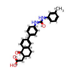 Cc1cccc(NC(=O)Nc2ccc(-c3ccc4c(c3)CCC(CC(=O)O)C4=O)cc2)c1